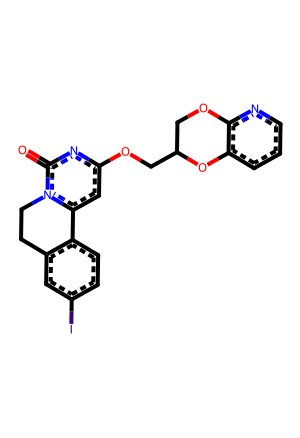 O=c1nc(OCC2COc3ncccc3O2)cc2n1CCc1cc(I)ccc1-2